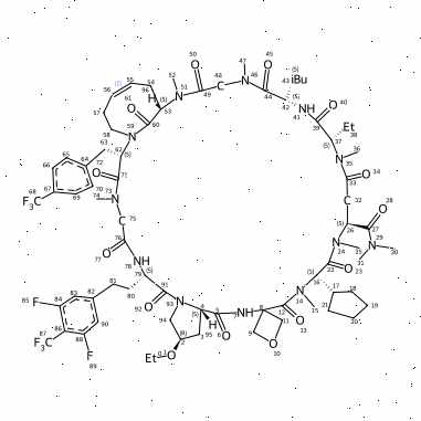 CCO[C@@H]1C[C@H]2C(=O)NC3(COC3)C(=O)N(C)[C@@H](C3CCCC3)C(=O)N(C)[C@H](C(=O)N(C)C)CC(=O)N(C)[C@@H](CC)C(=O)N[C@@H]([C@@H](C)CC)C(=O)N(C)CC(=O)N(C)[C@H]3C/C=C\CCN(C3=O)[C@@H](Cc3ccc(C(F)(F)F)cc3)C(=O)N(C)CC(=O)N[C@@H](CCc3cc(F)c(C(F)(F)F)c(F)c3)C(=O)N2C1